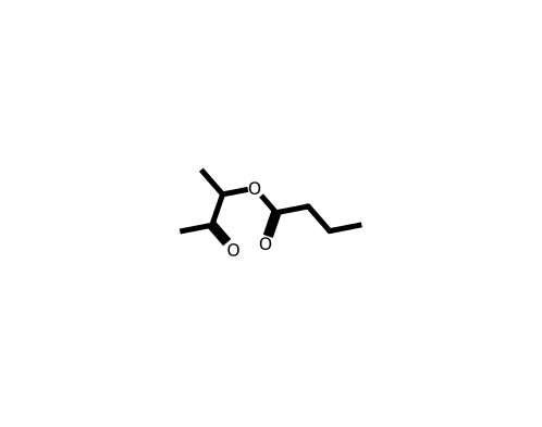 CCCC(=O)OC(C)C(C)=O